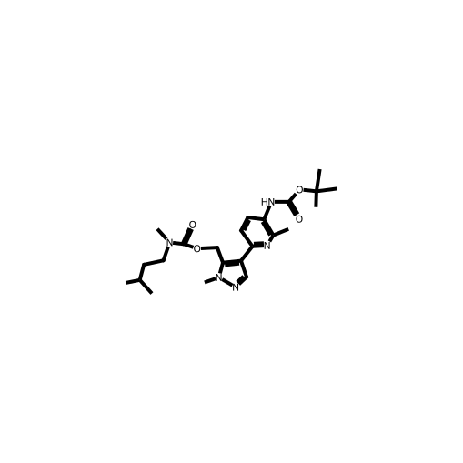 Cc1nc(-c2cnn(C)c2COC(=O)N(C)CCC(C)C)ccc1NC(=O)OC(C)(C)C